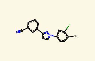 Cc1ccc(-n2ccc(-c3cccc(C#N)c3)n2)cc1F